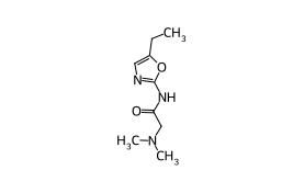 CCc1cnc(NC(=O)CN(C)C)o1